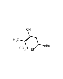 CCCCC(CC)C/C(C#N)=C(/C)C(=O)O